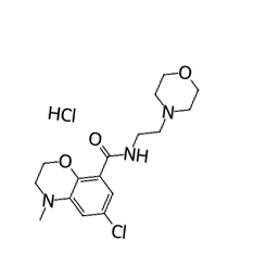 CN1CCOc2c(C(=O)NCCN3CCOCC3)cc(Cl)cc21.Cl